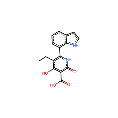 CCc1c(-c2cccc3cc[nH]c23)[nH]c(=O)c(C(=O)O)c1O